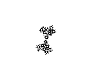 C=CCSc1ccc(C2(c3ccccc3)c3ccccc3-c3ccc(N(c4ccc(-c5ccccc5)cc4)c4ccc(-c5ccc(N(c6ccc(-c7ccccc7)cc6)c6ccc7c(c6)C(c6ccccc6)(c6ccc(SCC=C)cc6)c6ccccc6-7)cc5)cc4)cc32)cc1